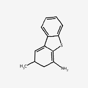 CC1C=c2c(sc3ccccc23)=C(N)C1